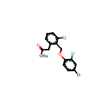 CCc1ccc(OCc2c(Cl)cccc2CC(=O)OC)c(Cl)c1